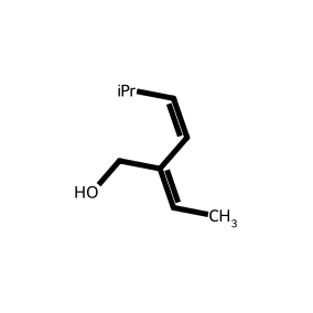 C/C=C(\C=C/C(C)C)CO